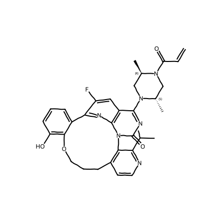 C=CC(=O)N1C[C@H](C)N(c2nc(=O)n3c4nc(c(F)cc24)-c2cccc(O)c2OCCCc2ccnc(C(C)C)c2-3)C[C@H]1C